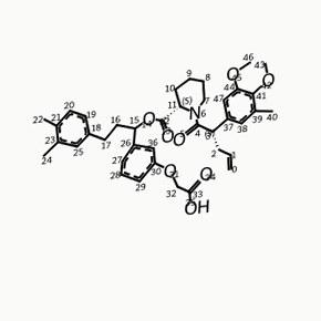 C=CC[C@H](C(=O)N1CCCC[C@H]1C(=O)OC(CCc1ccc(C)c(C)c1)c1cccc(OCC(=O)O)c1)c1cc(C)c(OC)c(OC)c1